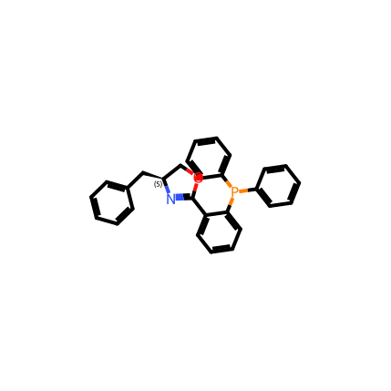 c1ccc(C[C@H]2COC(c3ccccc3P(c3ccccc3)c3ccccc3)=N2)cc1